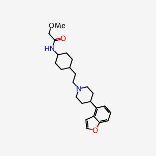 COCC(=O)NC1CCC(CCN2CCC(c3cccc4occc34)CC2)CC1